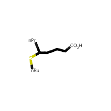 CCCCSC(CCC)CCCC(=O)O